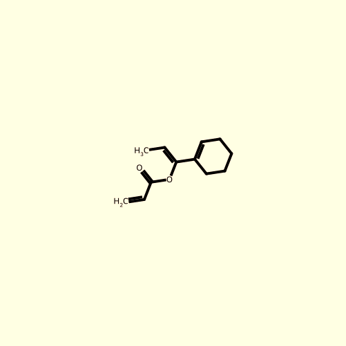 C=CC(=O)OC(=CC)C1=CCCCC1